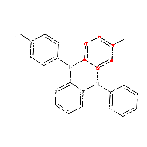 Cc1ccc(N(c2ccc(C)cc2)c2ccccc2N(c2ccccc2)c2ccccc2)cc1